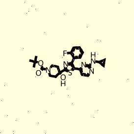 CC(C)(C)OC(=O)N1CCC(O)(c2nc(-c3ccccc3F)c(-c3ccnc(NC4CC4)n3)s2)CC1